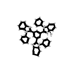 C1=CC2N=C(c3cc(C4=N[C@H]5C=CC=CC5N4c4ccccc4)cc(-c4nc5ccccc5n4-c4ccccc4)c3)N(c3ccccc3)C2C=C1